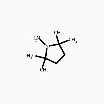 CC1(C)CCC(C)(C)N1N